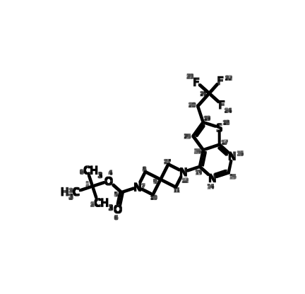 CC(C)(C)OC(=O)N1CC2(C1)CN(c1ncnc3sc(CC(F)(F)F)cc13)C2